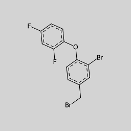 Fc1ccc(Oc2ccc(CBr)cc2Br)c(F)c1